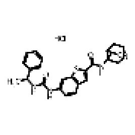 CC(NC(=O)Nc1ccc2cc(C(=O)NC3CN4CCC3CC4)sc2c1)c1ccccc1.Cl